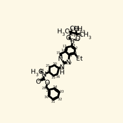 CCc1cc(B2OC(C)(C)C(C)(C)O2)cc2cnc(NC3CCC(N(C)C(=O)OCc4ccccc4)CC3)nc12